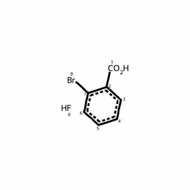 F.O=C(O)c1ccccc1Br